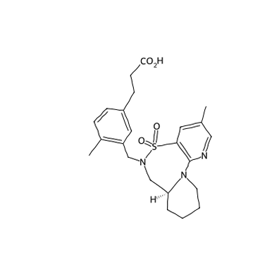 Cc1cnc2c(c1)S(=O)(=O)N(Cc1cc(CCC(=O)O)ccc1C)C[C@@H]1CCCCN21